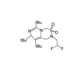 CC(C)(C)C1=NC(C(C)(C)C)C(C(C)(C)C)=C2CN(CC(F)F)S(=O)(=O)CN12